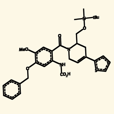 COc1cc(C(=O)N2CC=C(c3cccs3)CC2CO[Si](C)(C)C(C)(C)C)c(NC(=O)O)cc1OCc1ccccc1